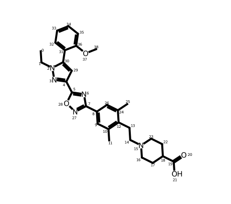 CCn1nc(-c2nc(-c3cc(C)c(CCN4CCC(C(=O)O)CC4)c(C)c3)no2)cc1-c1ccccc1OC